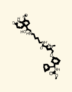 COC(=O)NC(c1ccccc1)c1cccc(OCc2cc(C(=O)NCCCCNCC(O)c3ccc(N=O)c4[nH]c(=O)ccc34)nn2C)c1